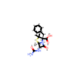 CC1(C)S[C@@H]2[C@H](NC(N)=O)C(=O)N2[C@@]1(Cc1ccccc1)C(=O)O